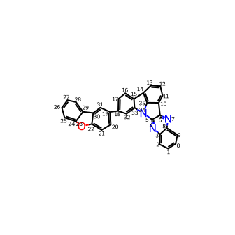 c1ccc2nc3c(nc2c1)c1cccc2c4ccc(-c5ccc6oc7ccccc7c6c5)cc4n3c21